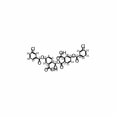 O=C(Oc1ccc(C(=O)OC(=O)c2ccc(OC(=O)c3cccc(Cl)c3)cc2C(=O)O)c(C(=O)O)c1)c1cccc(Cl)c1